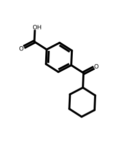 O=C(O)c1ccc(C(=O)C2CCCCC2)cc1